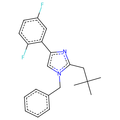 CC(C)(C)Cc1nc(-c2cc(F)ccc2F)cn1Cc1ccccc1